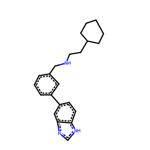 c1cc(CNCCC2CCCCC2)cc(-c2ccc3[nH]cnc3c2)c1